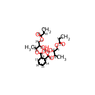 C=CC(=O)OCC(O)C(C)OC(=O)c1ccccc1C(=O)OC(C)C(O)COC(=O)C=C